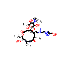 CC[C@H]1OC(=O)C[C@@H](O)[C@H](C)[C@@H](O[C@@H]2O[C@H](C)[C@@H](O)C(N(C)C)C2O)[C@@H](CCNCCn2cc(CO)nn2)C[C@@H](C)C(=O)/C=C/C(C)=C/[C@@H]1CO